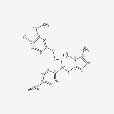 COc1cc(CCCN(Cc2cnc(C)n2C)c2ccc(C#N)cn2)ccc1Br